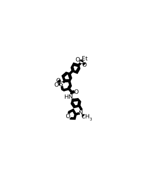 CCS(=O)(=O)c1ccc(-c2ccc3c(c2)C=C(C(=O)Nc2ccc(CN(C)C4CCOCC4)cc2)CCS3(=O)=O)cc1